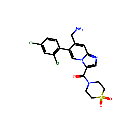 NCc1cc2ncc(C(=O)N3CCS(=O)(=O)CC3)n2cc1-c1ccc(Cl)cc1Cl